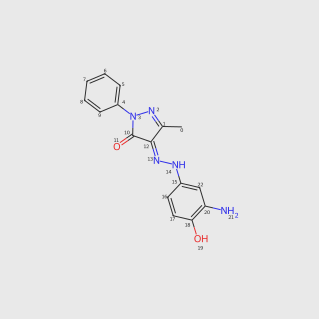 CC1=NN(c2ccccc2)C(=O)/C1=N/Nc1ccc(O)c(N)c1